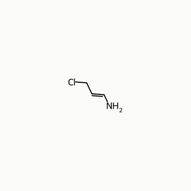 NC=CCCl